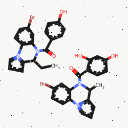 CC1c2cccn2-c2ccc(Br)cc2N1C(=O)c1ccc(O)cc1O.CCC1c2cccn2-c2ccc(Br)cc2N1C(=O)c1ccc(O)cc1